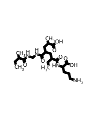 CCC(C)C(=O)NCNC(=O)C(CC(C)C(=O)O)CC(CC)C(=O)NC(CCCN)C(=O)O